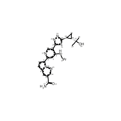 CC(C)Nc1cc(-c2ccc3cc(C(N)=O)cnn23)ncc1-c1nnc([C@H]2C[C@@H]2C(C)(C)O)s1